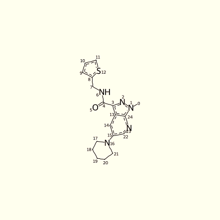 Cn1nc(C(=O)NCc2cccs2)c2cc(N3CCCCC3)cnc21